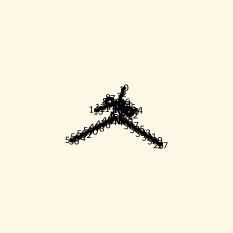 CCCCC1=C(c2cccc(CCCC)c2)[N+](=[N-])C(c2cccc(C)c2)=C1.CCCCCCCCCCCCCC[CH2][Ni][CH2]CCCCCCCCCCCCCC